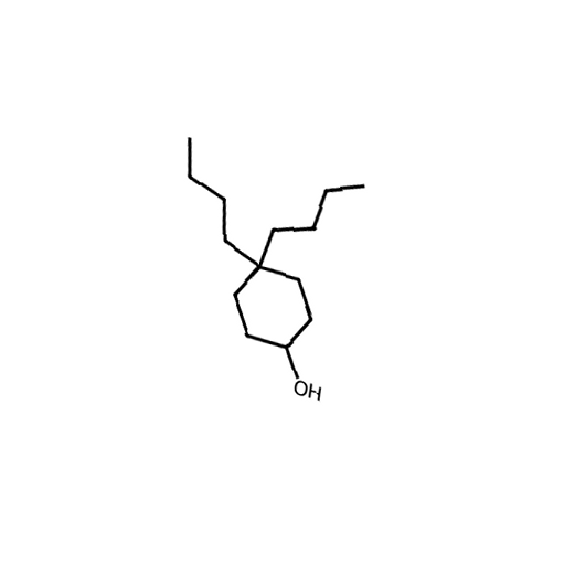 CCCCC1(CCCC)CCC(O)CC1